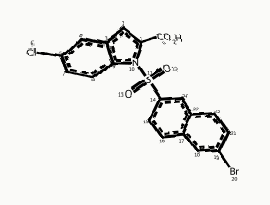 O=C(O)c1cc2cc(Cl)ccc2n1S(=O)(=O)c1ccc2cc(Br)ccc2c1